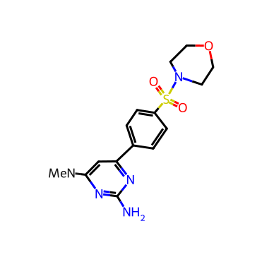 CNc1cc(-c2ccc(S(=O)(=O)N3CCOCC3)cc2)nc(N)n1